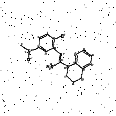 C[S+]([O-])c1ccc(Cl)c(N=C(N)N2CCCc3ccccc32)c1